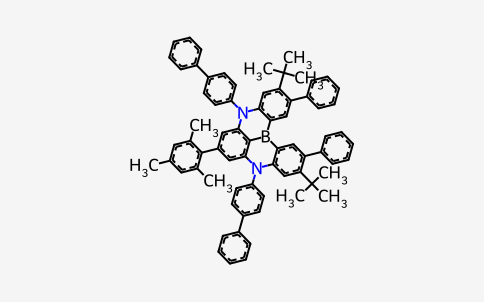 Cc1cc(C)c(-c2cc3c4c(c2)N(c2ccc(-c5ccccc5)cc2)c2cc(C(C)(C)C)c(-c5ccccc5)cc2B4c2cc(-c4ccccc4)c(C(C)(C)C)cc2N3c2ccc(-c3ccccc3)cc2)c(C)c1